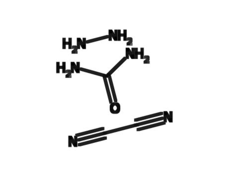 N#CC#N.NC(N)=O.NN